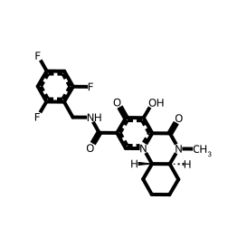 CN1C(=O)c2c(O)c(=O)c(C(=O)NCc3c(F)cc(F)cc3F)cn2[C@H]2CCCC[C@@H]21